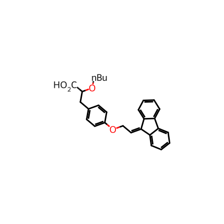 CCCCOC(Cc1ccc(OCC=C2c3ccccc3-c3ccccc32)cc1)C(=O)O